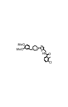 COc1ccc(CN2CCCN(c3ncc(CNC(=O)c4cccc(Cl)c4C)s3)CC2)cc1OC